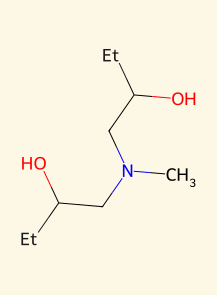 CCC(O)CN(C)CC(O)CC